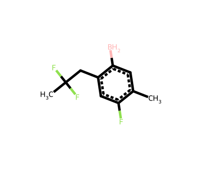 Bc1cc(C)c(F)cc1CC(C)(F)F